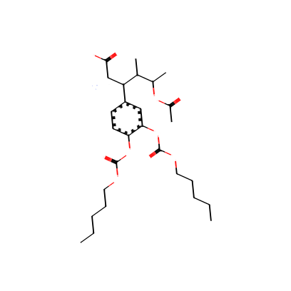 CCCCCOC(=O)Oc1ccc(C(C(C)C(C)OC(C)=O)[C@H](N)C(=O)O)cc1OC(=O)OCCCCC